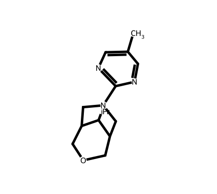 Cc1cnc(N2CC3COCC(C2)C3C(C)C)nc1